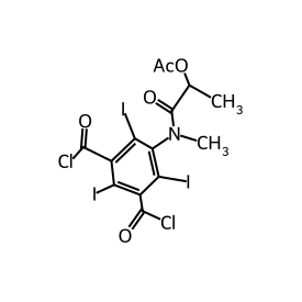 CC(=O)OC(C)C(=O)N(C)c1c(I)c(C(=O)Cl)c(I)c(C(=O)Cl)c1I